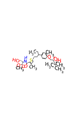 CCC(CCc1cc(C)c(C(=O)NC(CO)C(=O)OC)s1)c1ccc(OCC(O)C(C)(C)C)c(C)c1